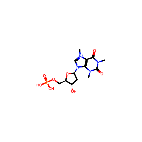 Cn1c(=O)c2c(n([C@H]3C[C@H](O)[C@@H](COP(=O)(O)O)O3)c[n+]2C)n(C)c1=O